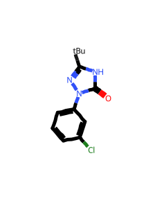 CC(C)(C)c1nn(-c2cccc(Cl)c2)c(=O)[nH]1